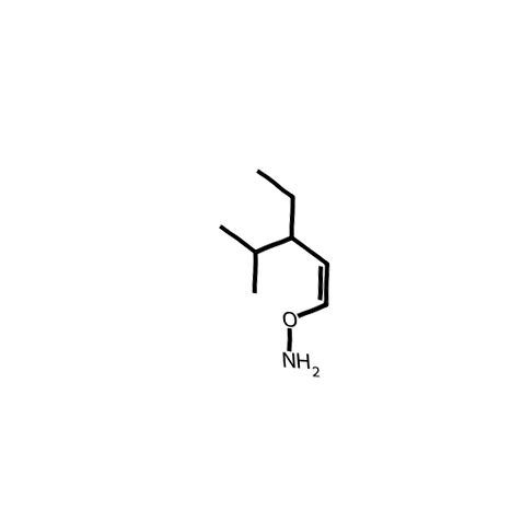 CCC(/C=C\ON)C(C)C